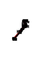 NN[C@@H](CCCCNC(=O)CC[C@H](NC(=O)CCOCCOCCOCCOCCNC(=O)CCCCCCCCCCCCCCCCCCC(=O)O)C(=O)O)C(=O)O